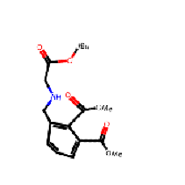 COC(=O)c1cccc(CNCC(=O)OC(C)(C)C)c1C(=O)OC